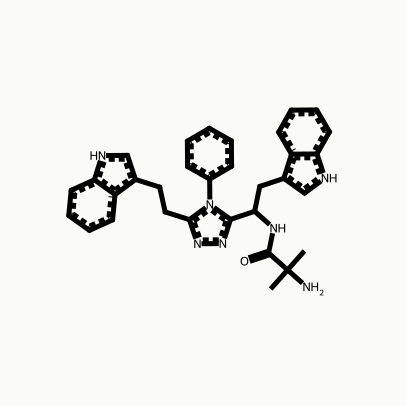 CC(C)(N)C(=O)NC(Cc1c[nH]c2ccccc12)c1nnc(CCc2c[nH]c3ccccc23)n1-c1ccccc1